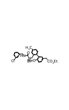 CCOC(=O)Cc1ccc(OC)c(-c2ccc(C)cc2CN(CC)C(=O)NCc2cccc(Cl)c2)c1